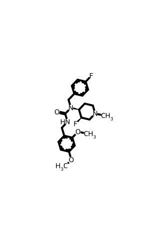 COc1ccc(CNC(=O)N(Cc2ccc(F)cc2)[C@H]2CCN(C)C[C@H]2F)c(OC)c1